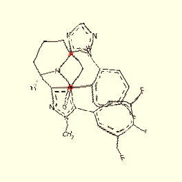 Cn1nc2c(c1-c1cc(F)c(F)c(F)c1)C[C@@H]1CCC[C@H]2N1C(=O)c1cc(F)ccc1-n1cncn1